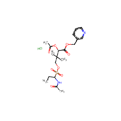 CCC(NC(C)=O)S(=O)(=O)OCC(C)(C)[C@@H](OC(C)=O)C(=O)OCc1cccnc1.Cl